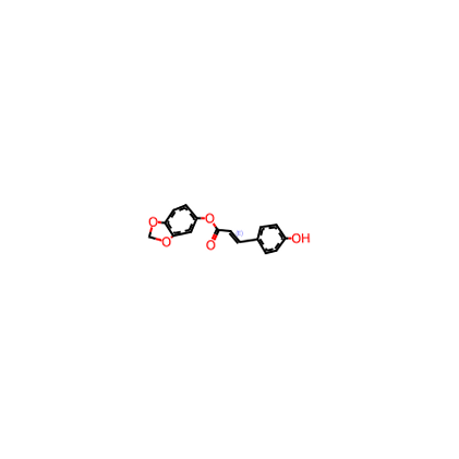 O=C(/C=C/c1ccc(O)cc1)Oc1ccc2c(c1)OCO2